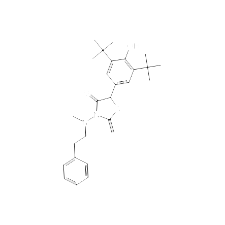 C=C1SC(c2cc(C(C)(C)C)c(O)c(C(C)(C)C)c2)C(=O)N1N(C)CCc1ccccc1